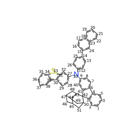 c1ccc2c(c1)-c1ccc(N(c3ccc(-c4ccc5ccccc5c4)cc3)c3ccc4c(c3)sc3ccccc34)cc1C21C2CC3CC(C2)CC1C3